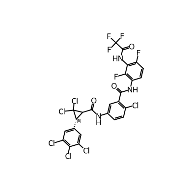 O=C(Nc1ccc(F)c(NC(=O)C(F)(F)F)c1F)c1cc(NC(=O)C2[C@H](c3cc(Cl)c(Cl)c(Cl)c3)C2(Cl)Cl)ccc1Cl